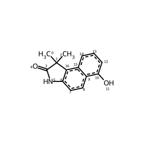 CC1(C)C(=O)Nc2ccc3c(O)cccc3c21